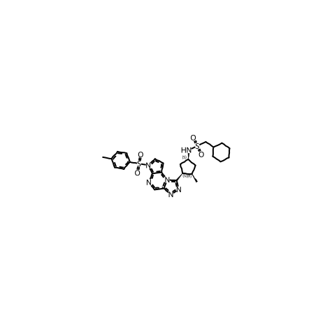 Cc1ccc(S(=O)(=O)n2ccc3c2ncc2nnc([C@H]4C[C@@H](NS(=O)(=O)CC5CCCCC5)C[C@H]4C)n23)cc1